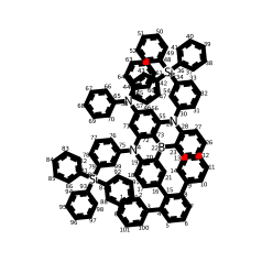 c1ccc(-c2cccc(-c3ccccc3)c2-c2ccc3c(c2)B2c4ccccc4N(c4cccc([Si](c5ccccc5)(c5ccccc5)c5ccccc5)c4)c4cc(N(c5ccccc5)c5ccccc5)cc(c42)N3c2cccc([Si](c3ccccc3)(c3ccccc3)c3ccccc3)c2)cc1